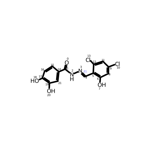 O=C(N/N=C/c1c(O)cc(Cl)cc1Cl)c1ccc(O)c(O)c1